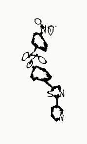 O=[N+]([O-])c1ccc(S(=O)(=O)Oc2ccc(-c3cnc(-c4cccnc4)s3)cc2)cc1